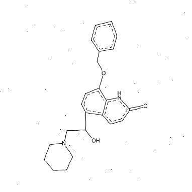 O=c1ccc2c(C(O)CN3CCCCC3)ccc(OCc3ccccc3)c2[nH]1